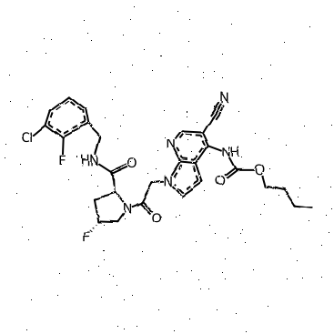 CCCCOC(=O)Nc1c(C#N)cnc2c1ccn2CC(=O)N1C[C@H](F)C[C@H]1C(=O)NCc1cccc(Cl)c1F